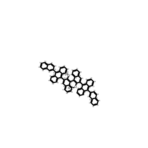 COc1c(-c2c3ccccc3c(-c3ccc4ccccc4c3)c3ccccc23)cc2ccccc2c1-c1c(OC)c(-c2c3ccccc3c(-c3ccc4ccccc4c3)c3ccccc23)cc2ccccc12